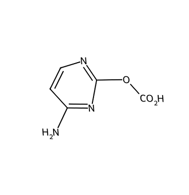 Nc1ccnc(OC(=O)O)n1